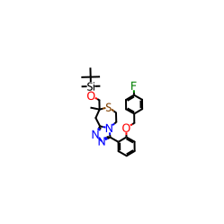 CC1(CO[Si](C)(C)C(C)(C)C)Cc2nnc(-c3ccccc3OCc3ccc(F)cc3)n2CCS1